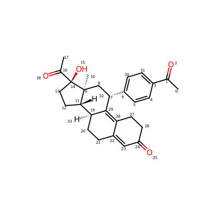 CC(=O)c1ccc([C@H]2C[C@@]3(C)[C@@H](CC[C@]3(O)C(C)=O)[C@@H]3CCC4=CC(=O)CCC4=C32)cc1